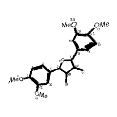 COc1ccc(C2SC(c3ccc(OC)c(OC)c3)C(C)C2C)cc1OC